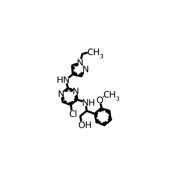 CCn1cc(Nc2ncc(Cl)c(NC(CO)c3ccccc3OC)n2)cn1